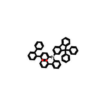 c1ccc(-c2ccccc2-c2ccc(N(c3ccc4c(c3)C(c3ccccc3)(c3ccccc3)c3ccccc3-4)c3ccccc3-c3ccccc3)cc2)cc1